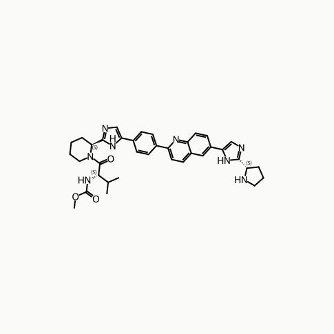 COC(=O)N[C@H](C(=O)N1CCCC[C@H]1c1ncc(-c2ccc(-c3ccc4cc(-c5cnc([C@@H]6CCCN6)[nH]5)ccc4n3)cc2)[nH]1)C(C)C